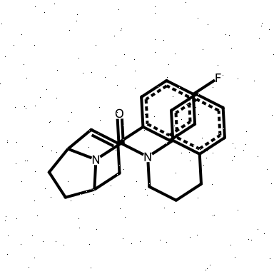 O=C(N1CCCc2ccccc21)N1C2C=C(c3ccc(F)cc3)CC1CC2